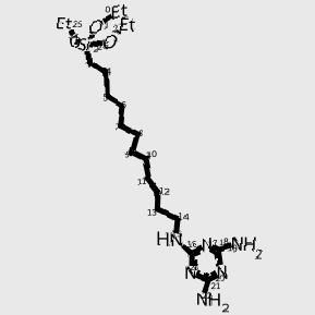 CCO[Si](CCCCCCCCCCCCNc1nc(N)nc(N)n1)(OCC)OCC